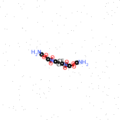 Nc1ccc(OC(=O)c2ccc3c(c2)C(=O)N(c2ccc(C(c4ccc(N5C(=O)c6ccc(C(=O)Oc7ccc(N)cc7)cc6C5=O)cc4)(C(F)(F)F)C(F)(F)F)cc2)C3=O)cc1